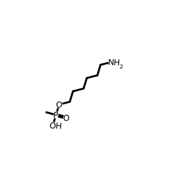 CP(=O)(O)OCCCCCCN